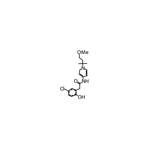 COCCC(C)(C)N1C=CC(NC(=O)Cc2cc(Cl)ccc2O)=CC1